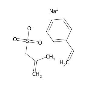 C=C(C)CS(=O)(=O)[O-].C=Cc1ccccc1.[Na+]